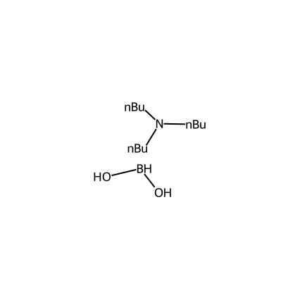 CCCCN(CCCC)CCCC.OBO